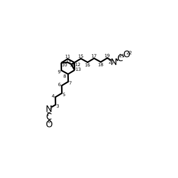 O=C=NCCCCCC1CC2CCC1C(CCCCCN=C=O)C2